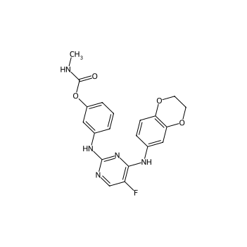 CNC(=O)Oc1cccc(Nc2ncc(F)c(Nc3ccc4c(c3)OCCO4)n2)c1